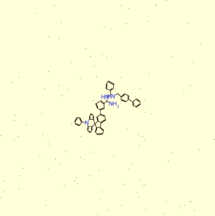 NC(NC(NCc1ccc(-c2ccccc2)cc1)c1ccccc1)c1cccc(-c2ccc3c(c2)C2(c4ccccc4-3)c3ccccc3N(c3ccccc3)c3ccccc32)c1